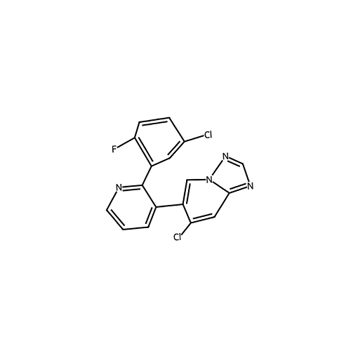 Fc1ccc(Cl)cc1-c1ncccc1-c1cn2ncnc2cc1Cl